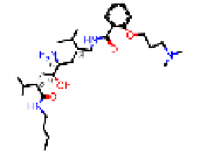 CCCCNC(=O)[C@@H](C[C@H](O)[C@@H](N)C[C@H](CNC(=O)c1ccccc1OCCCN(C)C)C(C)C)C(C)C